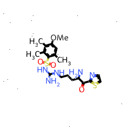 COc1cc(C)c(S(=O)(=O)NC(N)NCCCC(N)C(=O)c2nccs2)c(C)c1C